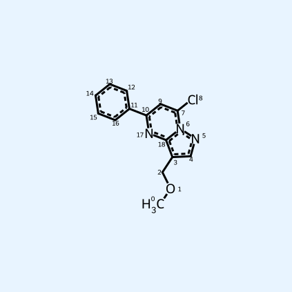 COCc1cnn2c(Cl)cc(-c3ccccc3)nc12